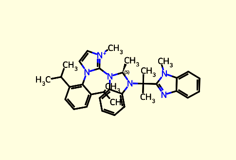 CC(C)c1cccc(C(C)C)c1-n1cc[n+](C)c1N1c2ccccc2N(C(C)(C)c2nc3ccccc3n2C)[C@@H]1C